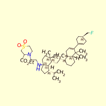 C=C(C)[C@@H]1CC[C@]2(NCCN3CCS(=O)(=O)CC3C(=O)OCC)CC[C@@](C)(CC)[C@H](CC[C@H]3CCC[C@H]4C(C)(C)C(C5=CC[C@H](CF)CC5)=CC[C@]34C)[C@@H]12